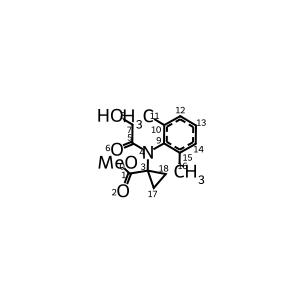 COC(=O)C1(N(C(=O)CO)c2c(C)cccc2C)CC1